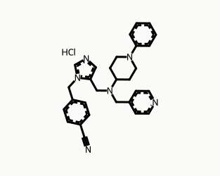 Cl.N#Cc1ccc(Cn2cncc2CN(Cc2ccncc2)C2CCN(c3ccccc3)CC2)cc1